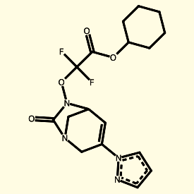 O=C1N2CC(n3cccn3)=CC(C2)N1OC(F)(F)C(=O)OC1CCCCC1